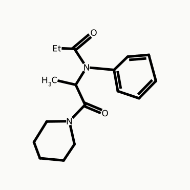 CCC(=O)N(c1ccccc1)C(C)C(=O)N1CCCCC1